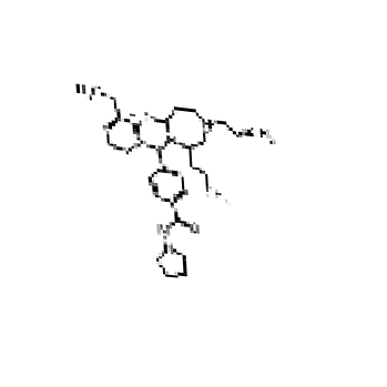 C=CCN1CCC(C)N(C(C2=CC(CC)=CCC2)c2ccc(C(=O)NN3CCCC3)cc2)C(CCC)C1